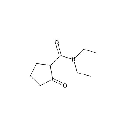 CCN(CC)C(=O)C1CCCC1=O